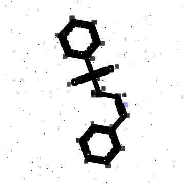 O=S(=O)(N/N=C\c1ccccc1)c1ccccc1